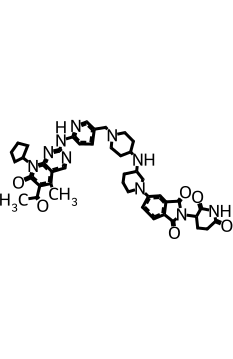 CC(=O)c1c(C)c2cnc(Nc3ccc(CN4CCC(NC5CCCN(c6ccc7c(c6)C(=O)N(C6CCC(=O)NC6=O)C7=O)C5)CC4)cn3)nc2n(C2CCCC2)c1=O